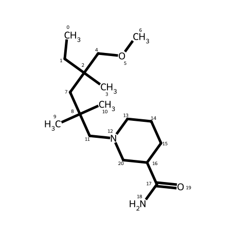 CCC(C)(COC)CC(C)(C)CN1CCCC(C(N)=O)C1